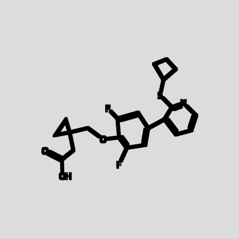 O=C(O)CC1(COc2c(F)cc(-c3cccnc3SC3CCC3)cc2F)CC1